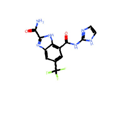 NC(=O)c1nc2cc(C(F)(F)F)cc(C(=O)Nc3ncc[nH]3)c2[nH]1